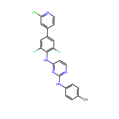 N#Cc1ccc(Nc2nccc(Nc3c(F)cc(-c4ccnc(Cl)c4)cc3F)n2)cc1